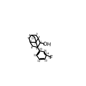 OC1C2CC3CC(C2)CC1(c1cccc(F)c1)C3